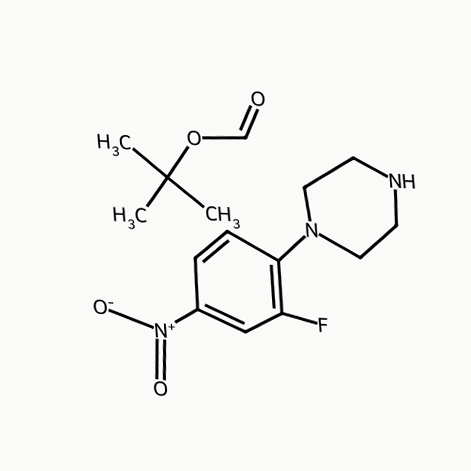 CC(C)(C)OC=O.O=[N+]([O-])c1ccc(N2CCNCC2)c(F)c1